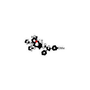 COc1ccc([C@@H]2C[C@@H](c3ccccc3)[C@H](C(=O)O[C@H]3C[C@@]4(O)[C@@H](C)[C@@H]5[C@]6(C)CO[C@@H]6C[C@H](OC6SCCS6)[C@@]5(C)C(=O)[C@H](OC5SCCS5)C(=C3C)C4(C)C)O2)cc1